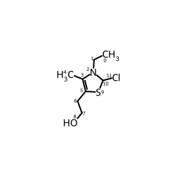 CCN1C(C)=C(CCO)SC1Cl